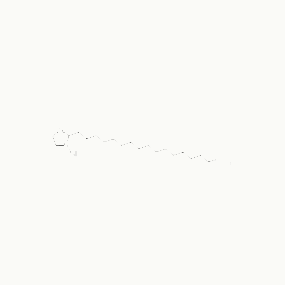 CCCCCCCCCCCCCCCCCC1NCCN1N